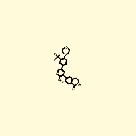 Nc1ncc(-c2ccc(N3CCOCC3)c(C(F)(F)F)c2)cc1-c1ccc2c(c1)CCNC2=O